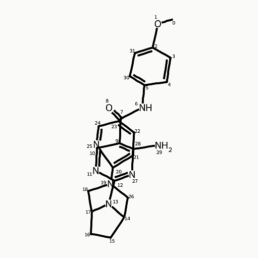 COc1ccc(NC(=O)c2cnc(N3C4CCC3CN(c3ccccn3)C4)nc2N)cc1